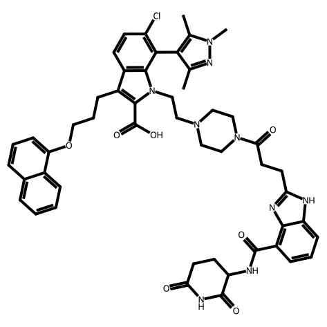 Cc1nn(C)c(C)c1-c1c(Cl)ccc2c(CCCOc3cccc4ccccc34)c(C(=O)O)n(CCN3CCN(C(=O)CCc4nc5c(C(=O)NC6CCC(=O)NC6=O)cccc5[nH]4)CC3)c12